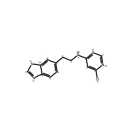 Clc1cc(NCCc2ccc3ncsc3c2)ncn1